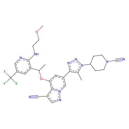 COCCNc1ncc(C(F)(F)F)cc1C(C)Oc1cc(-c2nnn(C3CCN(C#N)CC3)c2C)cn2ncc(C#N)c12